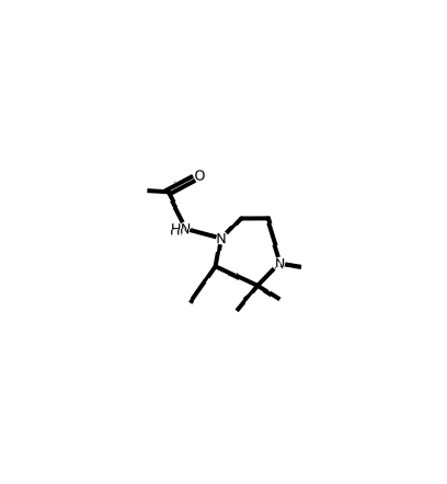 CC(=O)NN1CCN(C)C(C)(C)C1C